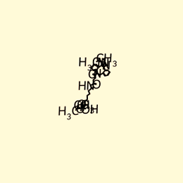 CC(C)OP(=O)(O)OCCCCCCNC(=O)CCC(=O)N1Cc2ccccc2-c2nnn(C(C)C)c2-c2ccccc21